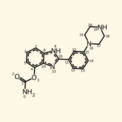 NC(=O)Oc1cccc2[nH]c(-c3cccc(N4CCNCC4)c3)nc12